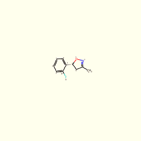 CC1=NO[C@@H](c2ccccc2F)C1